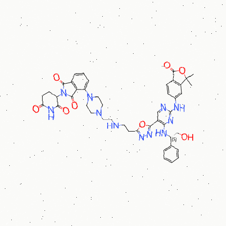 CC1(C)OC(=O)c2ccc(Nc3ncc(-c4nnc(CCNCCN5CCN(c6cccc7c6C(=O)N(C6CCC(=O)NC6=O)C7=O)CC5)o4)c(N[C@H](CO)c4ccccc4)n3)cc21